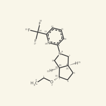 CCO[C@H]1CC[C@@H]2CN(c3cccc(C(F)(F)F)n3)C[C@@H]21